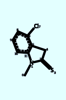 CN1C(=S)Cc2c(Cl)cccc21